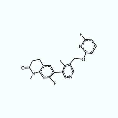 Cc1c(COc2cccc(F)n2)cncc1-c1cc2c(cc1F)N(C)C(=O)CC2